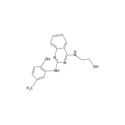 Cc1ccc(O)c(Nc2nc(NCCO)c3ccccc3n2)c1